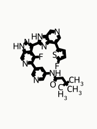 CC(C)(C)CC(=O)Nc1cncc(-c2ncc3[nH]nc(-c4nc5c(-c6ccc(F)s6)cncc5[nH]4)c3c2F)c1